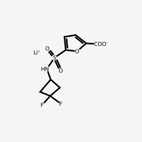 O=C([O-])c1ccc(S(=O)(=O)NC2CC(F)(F)C2)o1.[Li+]